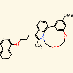 COc1cc2cc(c1)-c1cccc3c(CCCOc4cccc5ccccc45)c(C(=O)O)n(c13)CCOCCO2